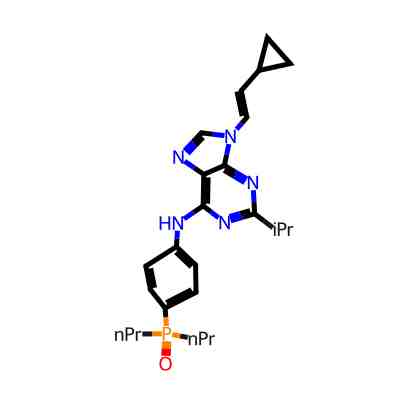 CCCP(=O)(CCC)c1ccc(Nc2nc(C(C)C)nc3c2ncn3C=CC2CC2)cc1